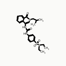 CCN(CC)S(=O)(=O)c1ccc(NC(=O)Nc2cn(CC(C)C)c(=O)c3ccccc23)cc1